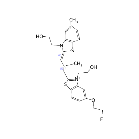 CC(/C=C1\Sc2ccc(C)cc2N1CCO)=C\c1sc2ccc(OCCF)cc2[n+]1CCO